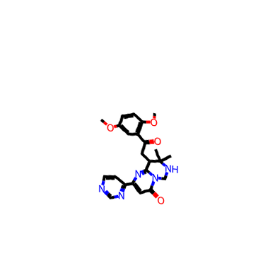 COc1ccc(OC)c(C(=O)CC2c3nc(-c4ccncn4)cc(=O)n3CNC2(C)C)c1